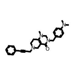 CN1CN(Cc2ccc(N(C)C)cc2)C(=O)C2=C1CCN(CC#Cc1ccccc1)C2